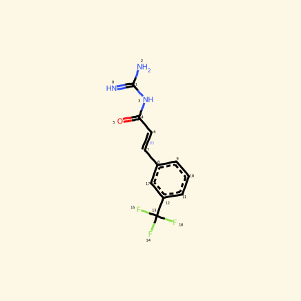 N=C(N)NC(=O)/C=C/c1cccc(C(F)(F)F)c1